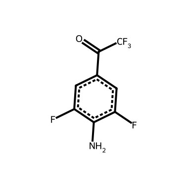 Nc1c(F)cc(C(=O)C(F)(F)F)cc1F